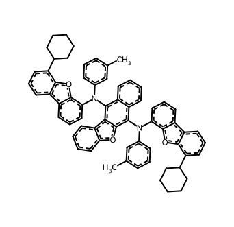 Cc1cccc(N(c2cccc3c2oc2c(C4CCCCC4)cccc23)c2c3ccccc3c(N(c3cccc(C)c3)c3cccc4c3oc3c(C5CCCCC5)cccc34)c3c2oc2ccccc23)c1